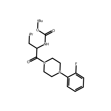 CC(C)CC(NC(=O)OC(C)(C)C)C(=O)N1CCN(c2ccccc2F)CC1